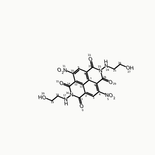 O=C1c2cc([N+](=O)[O-])c3c4c(cc([N+](=O)[O-])c(c24)C(=O)N1NCCO)C(=O)N(NCCO)C3=O